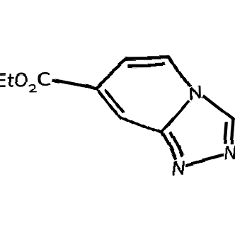 CCOC(=O)c1ccn2cnnc2c1